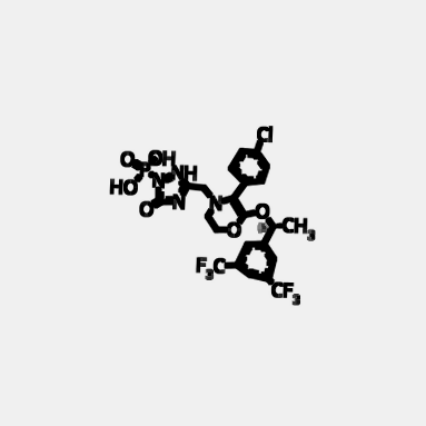 C[C@H](OC1=C(c2ccc(Cl)cc2)N(Cc2nc(=O)n(P(=O)(O)O)[nH]2)CCO1)c1cc(C(F)(F)F)cc(C(F)(F)F)c1